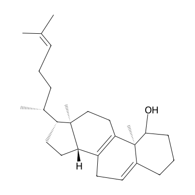 CC(C)=CCC[C@@H](C)[C@H]1CC[C@H]2C3=C(CC[C@]12C)[C@]1(C)C(=CC3)CCCC1O